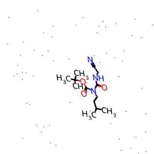 CC(C)CCN(C(=O)NCC#N)C(=O)OC(C)(C)C